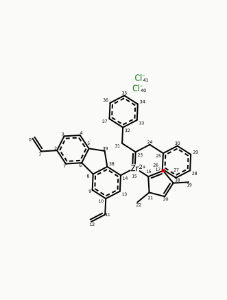 C=Cc1ccc2c(c1)-c1cc(C=C)c[c]([Zr+2]([C]3=CC(C)=CC3C)=[C](Cc3ccccc3)Cc3ccccc3)c1C2.[Cl-].[Cl-]